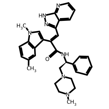 Cc1ccc2c(c1)c(/C(=C\c1n[nH]c3ncccc13)C(=O)N[C@H](CN1CCN(C)CC1)c1ccccc1)cn2C